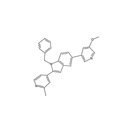 COc1cncc(-c2ccc3c(c2)cc(-c2ccnc(C)c2)n3Cc2ccccc2)c1